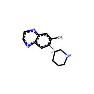 Cc1cc2nccnc2cc1[C@H]1CCCNC1